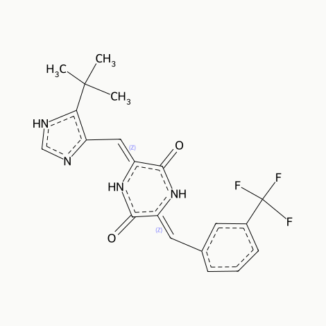 CC(C)(C)c1[nH]cnc1/C=c1\[nH]c(=O)/c(=C/c2cccc(C(F)(F)F)c2)[nH]c1=O